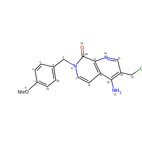 COc1ccc(Cn2ccc3c(N)c(CCl)cnc3c2=O)cc1